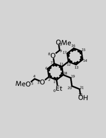 CCc1c(OCOC)cc(OCOC)c(-c2ccccc2)c1CCCO